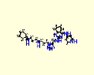 c1ccc2c(NC3CCNCC3)nc(NCc3nnnn3CCCNCCCNC3CCCCC3)nc2c1